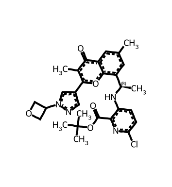 Cc1cc([C@@H](C)Nc2ccc(Cl)nc2C(=O)OC(C)(C)C)c2oc(-c3cnn(C4COC4)c3)c(C)c(=O)c2c1